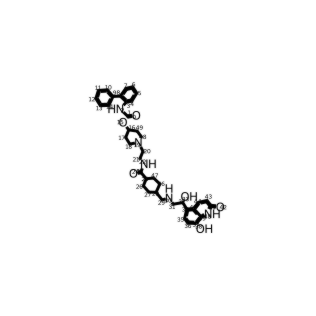 O=C(Nc1ccccc1-c1ccccc1)OC1CCN(CCNC(=O)C2CCC(CNC[C@H](O)c3ccc(O)c4[nH]c(=O)ccc34)CC2)CC1